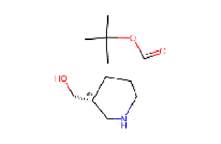 CC(C)(C)OC=O.OC[C@@H]1CCCNC1